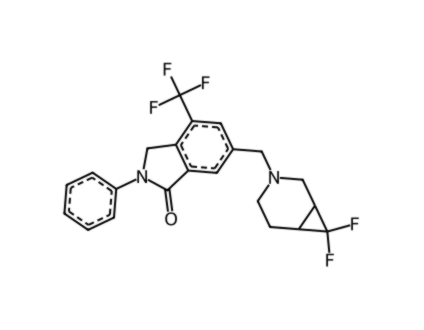 O=C1c2cc(CN3CCC4C(C3)C4(F)F)cc(C(F)(F)F)c2CN1c1ccccc1